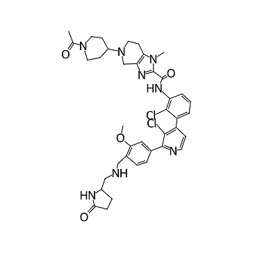 COc1cc(-c2nccc(-c3cccc(NC(=O)c4nc5c(n4C)CCN(C4CCN(C(C)=O)CC4)C5)c3Cl)c2Cl)ccc1CNCC1CCC(=O)N1